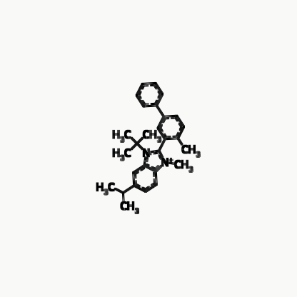 Cc1ccc(-c2ccccc2)cc1-c1n(C(C)(C)C)c2cc(C(C)C)ccc2[n+]1C